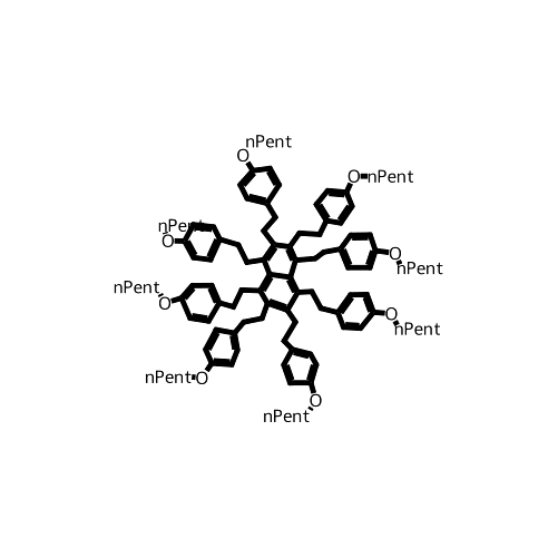 CCCCCOc1ccc(CCc2c(CCc3ccc(OCCCCC)cc3)c(CCc3ccc(OCCCCC)cc3)c3c(CCc4ccc(OCCCCC)cc4)c(CCc4ccc(OCCCCC)cc4)c(CCc4ccc(OCCCCC)cc4)c(CCc4ccc(OCCCCC)cc4)c3c2CCc2ccc(OCCCCC)cc2)cc1